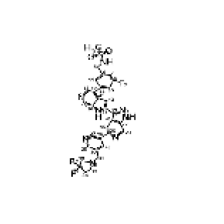 CS(=O)(=O)NCc1cc(F)cc(-c2cncc3[nH]c(-c4n[nH]c5cnc(-c6cncc(CN7CCC(F)(F)C7)c6)cc45)cc23)c1